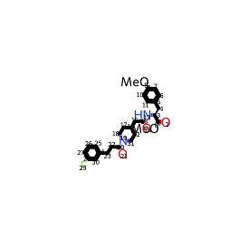 COC(=O)[C@H](Cc1ccc(OC)cc1)NC(=O)CC1CCN(C(=O)CCc2cccc(F)c2)CC1